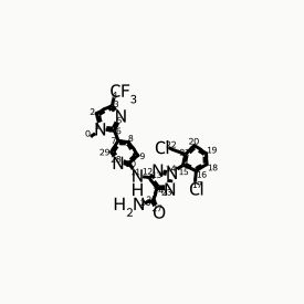 Cn1cc(C(F)(F)F)nc1-c1ccc(Nc2nn(-c3c(Cl)cccc3Cl)nc2C(N)=O)nc1